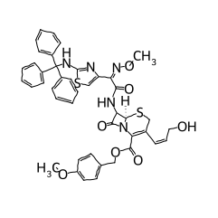 CO/N=C(\C(=O)NC1C(=O)N2C(C(=O)OCc3ccc(OC)cc3)=C(/C=C\CO)CS[C@H]12)c1csc(NC(c2ccccc2)(c2ccccc2)c2ccccc2)n1